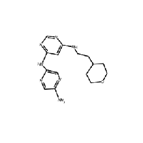 Nc1cnc(Nc2cc(NCCC3CCOCC3)ncn2)cn1